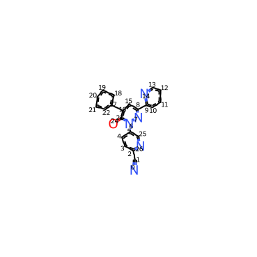 N#Cc1ccc(-n2nc(-c3ccccn3)cc(-c3ccccc3)c2=O)cn1